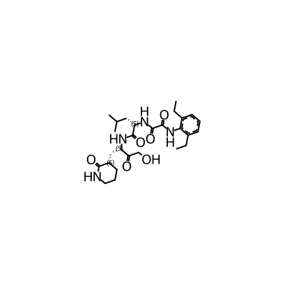 CCc1cccc(CC)c1NC(=O)C(=O)N[C@@H](CC(C)C)C(=O)N[C@@H](C[C@@H]1CCCNC1=O)C(=O)CO